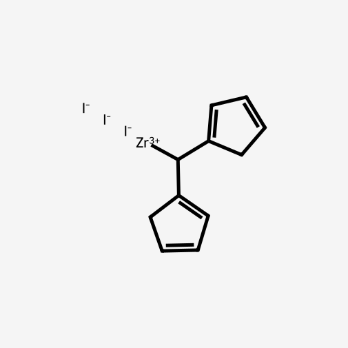 [I-].[I-].[I-].[Zr+3][CH](C1=CC=CC1)C1=CC=CC1